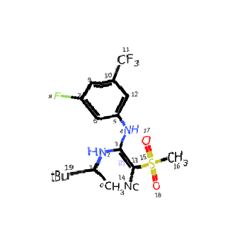 CC(N/C(Nc1cc(F)cc(C(F)(F)F)c1)=C(\C#N)S(C)(=O)=O)C(C)(C)C